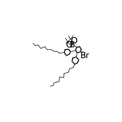 CCCCCCCCCCc1ccc(-c2c(Br)ccc(B3OC(C)(C)C(C)(C)O3)c2-c2ccc(CCCCCCCCCC)cc2)cc1